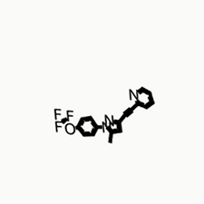 Cc1cc(C#Cc2ccccn2)nn1-c1ccc(OC(F)(F)F)cc1